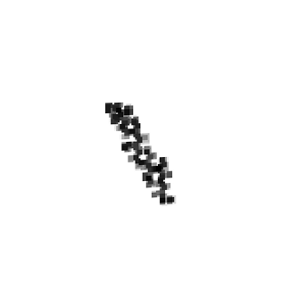 O=C(Nc1ccc(S(=O)(=O)C(F)(F)F)cc1)N1CC=C(c2ncc(CCO)cc2Cl)CC1